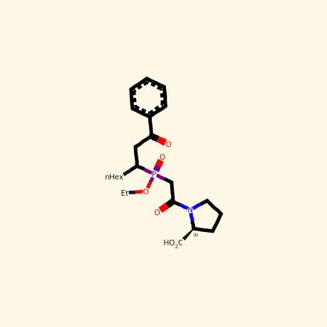 CCCCCCC(CC(=O)c1ccccc1)P(=O)(CC(=O)N1CCC[C@H]1C(=O)O)OCC